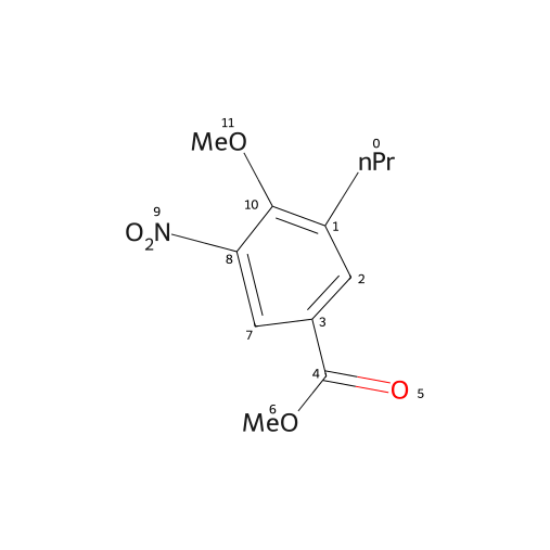 CCCc1cc(C(=O)OC)cc([N+](=O)[O-])c1OC